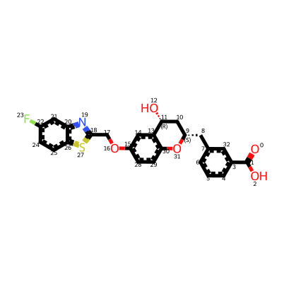 O=C(O)c1cccc(C[C@H]2C[C@@H](O)c3cc(OCc4nc5cc(F)ccc5s4)ccc3O2)c1